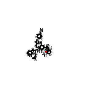 COc1cc(C(=O)N2C[C@H]3CC[C@@H]2[C@@H]3N)cc2nc(-c3cc4cccnc4n3CC3CC3)n(CC3CN(c4ccc(C#N)cc4)C3)c12